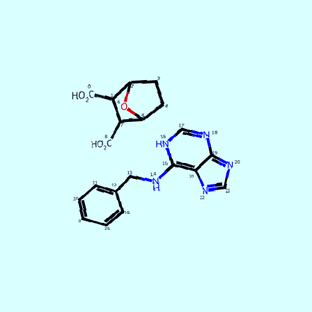 O=C(O)C1C2CCC(O2)C1C(=O)O.c1ccc(CNc2[nH]cnc3ncnc2-3)cc1